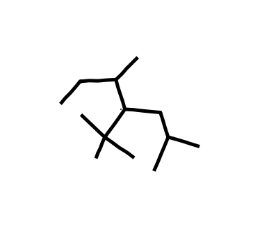 CCC(C)[C](CC(C)C)C(C)(C)C